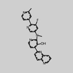 Cc1cc(-c2ncc(N(C)c3nccc(-c4ccc5ncccc5n4)c3O)cc2F)ccn1